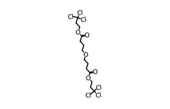 O=C(CCCOCCCC(=O)OCCC(Cl)(Cl)Cl)OCCC(Cl)(Cl)Cl